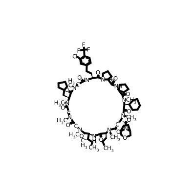 CCC[C@H]1C(=O)N[C@@H]([C@@H](C)CC)C(=O)N(C)CC(=O)N(C)CC(=O)N(C)[C@@H](CC2CCCC2)C(=O)N(C)CC(=O)N[C@@H](CCc2ccc(C(F)(F)F)c(Cl)c2)C(=O)N2CCC[C@H]2C(=O)NC2(CCCC2)C(=O)N(C)[C@@H](C2CCCCC2)C(=O)N(C)[C@H](C(=O)N2C3CCC2COC3)CC(=O)N1C